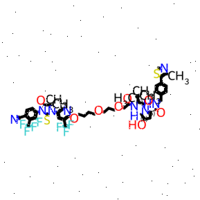 Cc1ncsc1-c1ccc(CNC(=O)[C@@H]2C[C@@H](O)CN2C(=O)[C@@H](NC(=O)COCCCOCCCCOc2ncc(N3C(=S)N(c4ccc(C#N)c(C(F)(F)F)c4F)C(=O)C3(C)C)cc2C(F)(F)F)C(C)(C)C)cc1